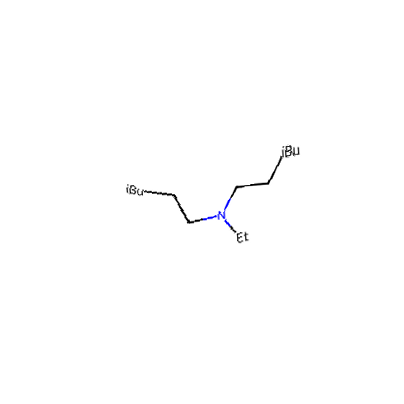 CCC(C)CCN(CC)CCC(C)CC